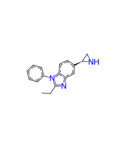 CCc1nc2cc([C@H]3CN3)ccc2n1-c1ccccc1